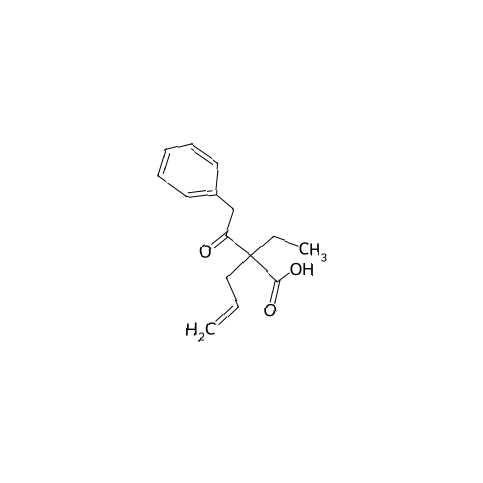 C=CCC(CC)(C(=O)O)C(=O)Cc1ccccc1